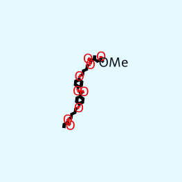 C=CC(=O)OCCCCOc1ccc(C(=O)Oc2ccc(OCCCCOC(=O)C(=C)CC(=O)OC)cc2)cc1